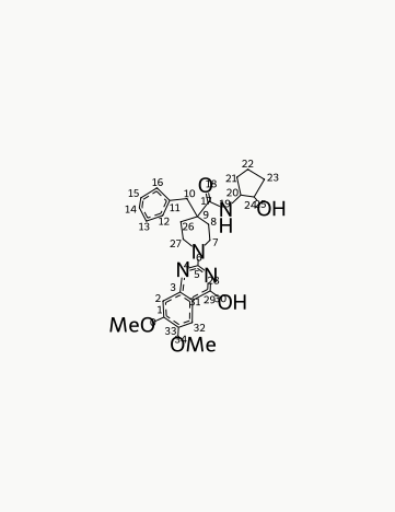 COc1cc2nc(N3CCC(Cc4ccccc4)(C(=O)NC4CCCC4O)CC3)nc(O)c2cc1OC